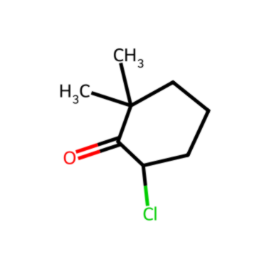 CC1(C)CCCC(Cl)C1=O